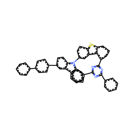 c1ccc(-c2ccc(-c3ccc4c(c3)c3ccccc3n4-c3ccc4sc5cccc(-c6nc(-c7ccccc7)nc(-c7ccccc7)n6)c5c4c3)cc2)cc1